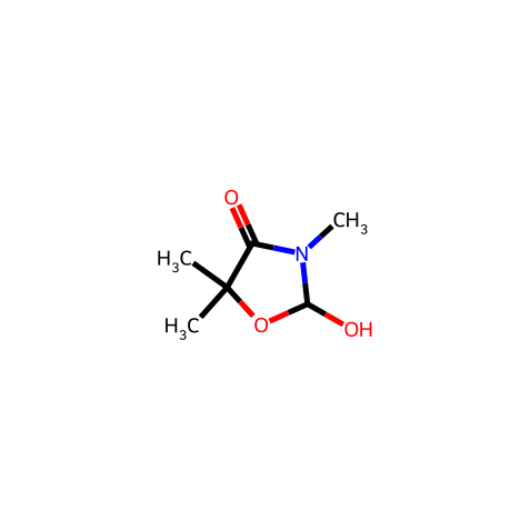 CN1C(=O)C(C)(C)OC1O